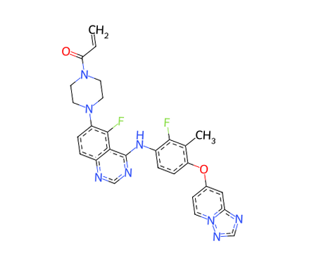 C=CC(=O)N1CCN(c2ccc3ncnc(Nc4ccc(Oc5ccn6ncnc6c5)c(C)c4F)c3c2F)CC1